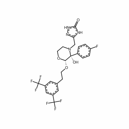 O=c1[nH]nc(CN2CCO[C@@H](OCCc3cc(C(F)(F)F)cc(C(F)(F)F)c3)[C@]2(O)c2ccc(F)cc2)[nH]1